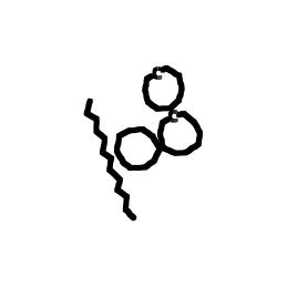 C1CCCCCCCCC1.C1CCCCCCCCC1.C1CCCCCCCCC1.CCCCCCCCCCCCC